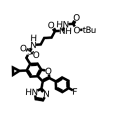 CC(C)(C)OC(=O)NNC(=O)CCCNS(=O)(=O)Cc1cc2oc(-c3ccc(F)cc3)c(-c3ncc[nH]3)c2cc1C1CC1